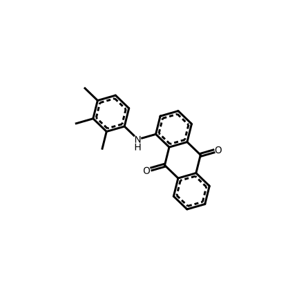 Cc1ccc(Nc2cccc3c2C(=O)c2ccccc2C3=O)c(C)c1C